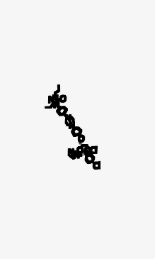 CCCn1nc(CC)n(-c2ccc(N3CCN(c4ccc(OC[C@@H]5CO[C@@](Cn6ccnc6)(c6ccc(Cl)cc6Cl)O5)cc4)CC3)cc2)c1=O